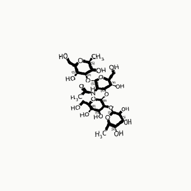 CC(=O)NC1[C@H](O[C@@H]2C(O)[C@H](C)OC(CO)[C@@H]2O)OC(CO)[C@H](O)[C@@H]1O[C@@H]1OC(CO)[C@H](O)[C@H](O)C1O[C@@H]1OC(C)[C@@H](O)[C@H](O)C1O